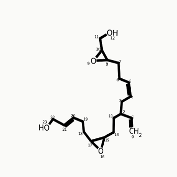 C=CC(C/C=C\CCC1OC1CO)CCC1OC1CC/C=C/CO